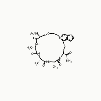 CC(=O)N[C@H]1CCCCn2cc3sccc3c2SC[C@@H](C(N)=O)NC(=O)[C@H](C)NC(=O)[C@H](C)NC(=O)[C@H](C)NC1=O